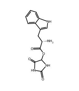 N[C@@H](Cc1c[nH]c2ccccc12)C(=O)OC1NC(=O)NC1=O